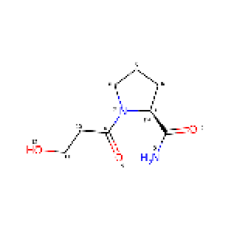 NC(=O)[C@@H]1CCCN1C(=O)CCO